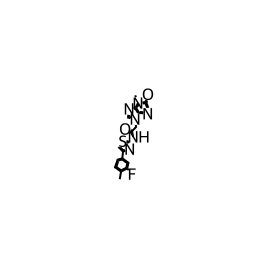 Cc1ccc(-c2csc(NC(=O)Cn3cnc4c3ncc(=O)n4C)n2)cc1F